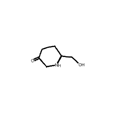 O=C1CCC(CO)NC1